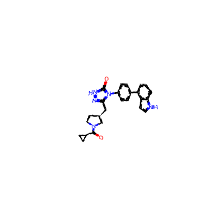 O=C(C1CC1)N1CC[C@@H](Cc2n[nH]c(=O)n2-c2ccc(-c3cccc4[nH]ccc34)cc2)C1